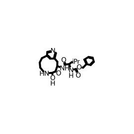 CC(C)C(NC(=O)OCc1ccccc1)C(=O)NC1Cc2cncc(c2)CCCCNC(O)C1=O